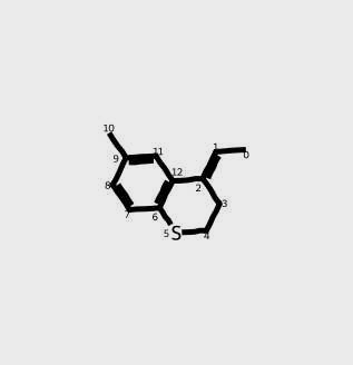 CC=C1CCSc2ccc(C)cc21